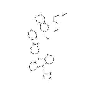 C=C/C=C\C(=C/C)c1c(C=C)c(/C=C\C)c(-c2cccc3c2sc2cc(-c4c5ccccc5c(-c5ccoc5)c5ccccc45)ccc23)c2ccccc12